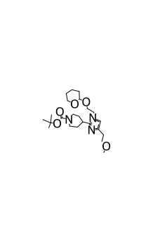 COCCc1cn(CCOC2CCCCO2)c(C2CCN(C(=O)OC(C)(C)C)CC2)n1